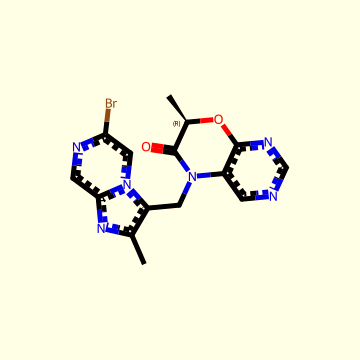 Cc1nc2cnc(Br)cn2c1CN1C(=O)[C@@H](C)Oc2ncncc21